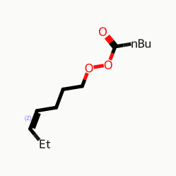 CC/C=C\CCCOOC(=O)CCCC